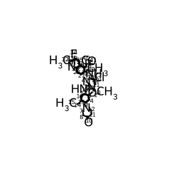 CCOc1cc(N2CCC(=O)CC2)c(CC)cc1Nc1ncc(Cl)c(Nc2ccc3nc(C)c(F)cc3c2P(C)(C)=O)n1